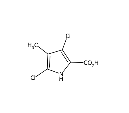 Cc1c(Cl)[nH]c(C(=O)O)c1Cl